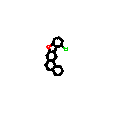 Clc1cccc2oc3cc4ccc5ccccc5c4cc3c12